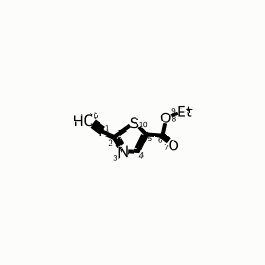 C#Cc1ncc(C(=O)OCC)s1